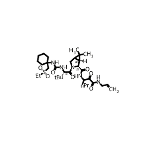 C=CCNC(=O)C(=O)C(CCC)NC(=O)[C@@H]1[C@@H]2C(CN1C(=O)[C@@H](NC(=O)NC1(CS(=O)(=O)CC)CCCCC1)C(C)(C)C)C2(C)C